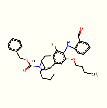 CCCCOc1cc2c(c(Br)c1Nc1ccccc1C=O)C[C@H]1C3CCCC[C@@]23CCN1C(=O)OCc1ccccc1